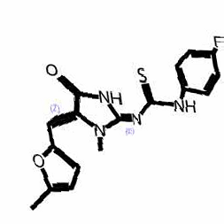 Cc1ccc(/C=C2/C(=O)N/C(=N\C(=S)Nc3ccc(F)cc3)N2C)o1